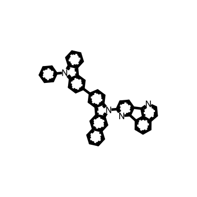 c1ccc(-n2c3ccccc3c3cc(-c4ccc5c(c4)c4cc6ccccc6cc4n5-c4ccc5c(n4)-c4cccc6ccnc-5c46)ccc32)cc1